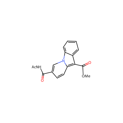 COC(=O)c1c2ccccc2n2cc(C(=O)NC(C)=O)ccc12